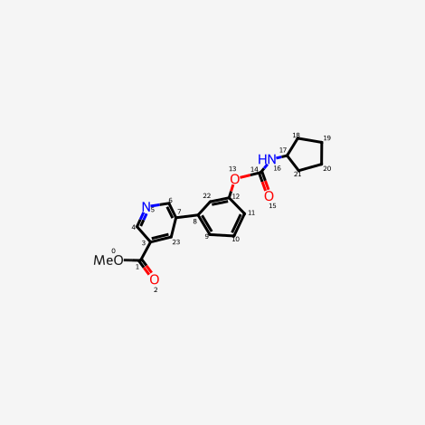 COC(=O)c1cncc(-c2cccc(OC(=O)NC3CCCC3)c2)c1